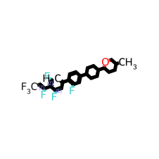 C=C(\C=C(F)/C(=C/F)C(/F)=C/C(F)(F)F)c1ccc(C2CCC(C3CCC(C)CO3)CC2)cc1F